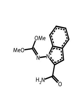 COC(=Nn1c(C(N)=O)cc2ccccc21)OC